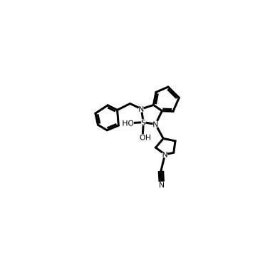 N#CN1CCC(N2c3ccccc3N(Cc3ccccc3)S2(O)O)C1